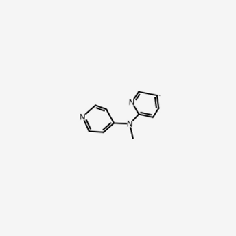 CN(c1ccncc1)c1cc[c]cn1